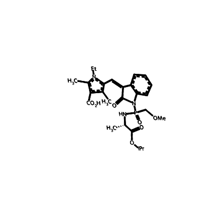 CCn1c(C)c(C(=O)O)c(C)c1/C=C1\C(=O)N(P(=O)(COC)N[C@@H](C)C(=O)OC(C)C)c2ccccc21